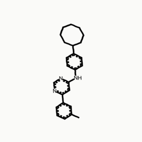 Cc1cccc(-c2cc(Nc3ccc(C4CCCCCCC4)cc3)ncn2)c1